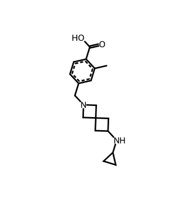 Cc1cc(CN2CC3(CC(NC4CC4)C3)C2)ccc1C(=O)O